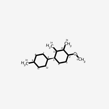 COC1CC[C@@H](C2CCC(C)CC2)C(C)C1C